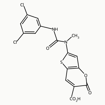 CN(C(=O)Nc1cc(Cl)cc(Cl)c1)c1cc2oc(=O)c(C(=O)O)cc2s1